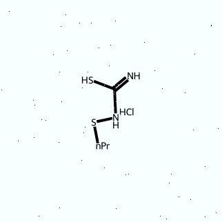 CCCSNC(=N)S.Cl